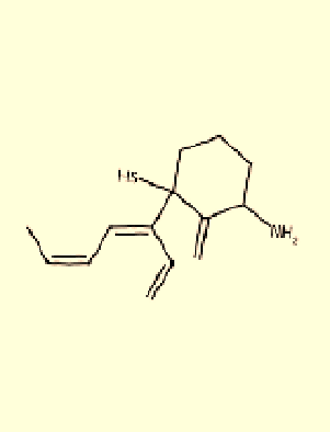 C=C/C(=C\C=C/C)C1(S)CCCC(N)C1=C